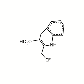 O=C(O)C1=C(CC(F)(F)F)Nc2ccccc2C1